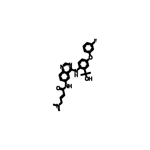 CN(C)CC=CC(=O)Nc1ccc2ncnc(Nc3ccc(Oc4cccc(F)c4)cc3C(C)(C)O)c2c1